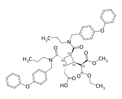 CCCN(Cc1ccc(Oc2ccccc2)cc1)C(=O)[C@@H]1[C@@H](C(=O)N(CCC)Cc2ccc(Oc3ccccc3)cc2)[C@@H](CC(=O)O)[C@@H]1[C@@H](C(=O)OC)C(=O)OCC